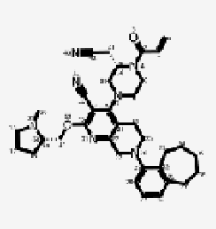 C=CC(=O)N1CCN(c2c(C#N)c(OC[C@@H]3CCCN3C)nc3c2CCN(c2cccc4c2CCCCC4)C3)C[C@@H]1CC#N